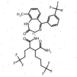 Cc1cccc2c1NC(=O)[C@@H](NC(=O)C(CCC(F)(F)F)C(CCCC(F)(F)F)C(N)=O)N=C2c1cccc(C(F)(F)F)c1